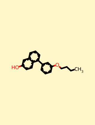 CCCCOc1cccc(-c2cccc3cc(O)ccc23)c1